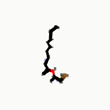 C=C(/C=C/CCCCCC)O/C(C)=C\Br